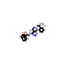 CC(CN1CCc2c(ncnc2NCC(O)C23CC4CC(CC(C4)C2)C3)C1)c1ccccc1